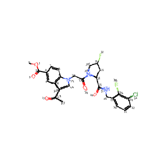 COC(=O)c1ccc2c(c1)c(C(C)=O)cn2CC(=O)N1CC(F)CC1C(=O)NCc1cccc(Cl)c1F